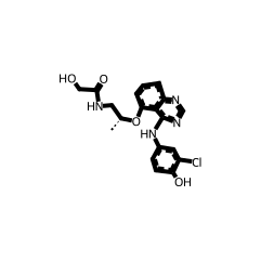 C[C@H](CNC(=O)CO)Oc1cccc2ncnc(Nc3ccc(O)c(Cl)c3)c12